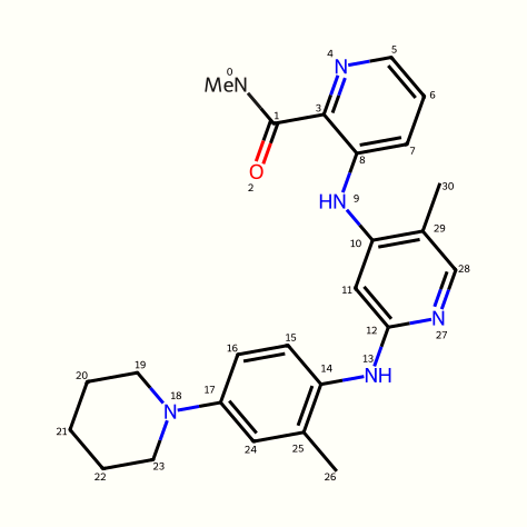 CNC(=O)c1ncccc1Nc1cc(Nc2ccc(N3CCCCC3)cc2C)ncc1C